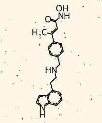 C/C(=C\C(=O)NO)c1ccc(CNCCc2cccc3[nH]ccc23)cc1